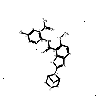 COc1ccc2nc(N3C4COCC3C4)sc2c1C(=O)Nc1ccc(Cl)cc1C(=O)O